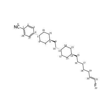 N#Cc1ccc([C@H]2CC[C@H](CC[C@H]3CC[C@H](CCCCCC=CF)CC3)CC2)cc1